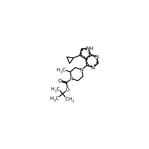 CC1CN(c2ncnc3[nH]cc(C4CC4)c23)CCN1C(=O)OC(C)(C)C